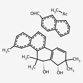 CC(C)=O.Cc1ccc2ccc3c(c2c1)C(C)(C)[C@@H](O)C1=C3C=CC(C)(C)[C@@H]1O.O=Cc1ccc2ccccc2c1